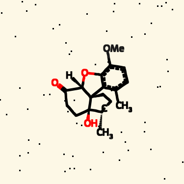 COc1ccc(C)c2c1O[C@H]1C(=O)CC[C@@]3(O)[C@@H](C)CCC[C@]213